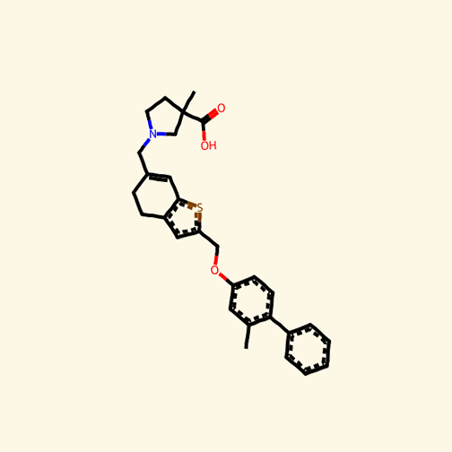 Cc1cc(OCc2cc3c(s2)C=C(CN2CCC(C)(C(=O)O)C2)CC3)ccc1-c1ccccc1